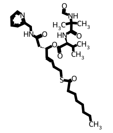 CCCCCCCC(=O)SCC/C=C/[C@H](CC(=O)NCc1ccccn1)OC(=O)[C@@H](NC(=O)C(C)(C)NC=O)C(C)C